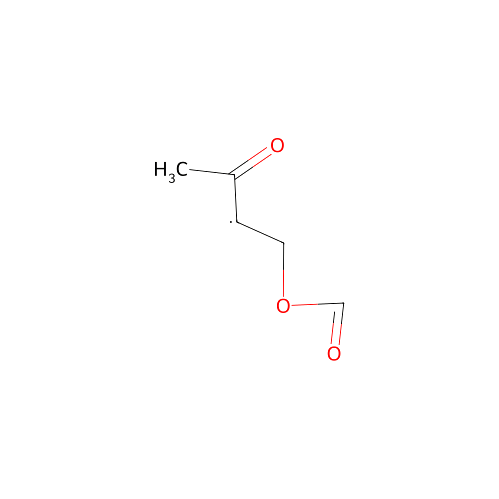 CC(=O)[CH]COC=O